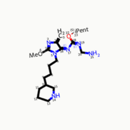 C=C1N=C(OC)N(CCCCC2CCCNC2)/C1=N/C(=N\CN)O[C@@H](C)CCC